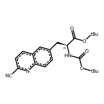 CC(C)(C)OC(=O)N[C@@H](Cc1ccc2nc(C#N)ccc2c1)C(=O)OC(C)(C)C